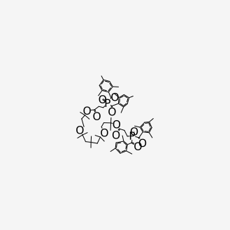 Cc1cc(C)c(C(=O)P(=O)(CCC(=O)OC(C)(C)CCOC(C)(C)CC(C)(C)CC(C)(C)OCCC(C)(C)OC(=O)CCP(=O)(C(=O)c2c(C)cc(C)cc2C)C(=O)c2c(C)cc(C)cc2C)C(=O)c2c(C)cc(C)cc2C)c(C)c1